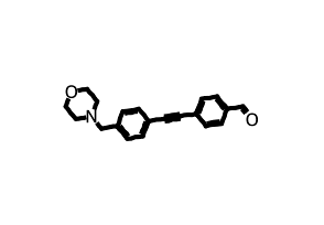 O=Cc1ccc(C#Cc2ccc(CN3CCOCC3)cc2)cc1